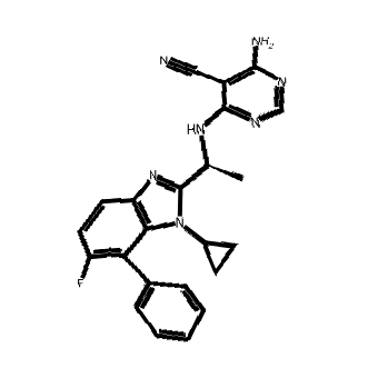 C[C@H](Nc1ncnc(N)c1C#N)c1nc2ccc(F)c(-c3ccccc3)c2n1C1CC1